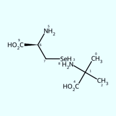 CC(C)(N)C(=O)O.N[C@@H](C[SeH])C(=O)O